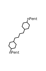 CCCCCC1CCC(CCCCC2CCC(CCCCC)CC2)CC1